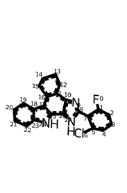 Fc1cccc(Cl)c1-c1nc2c3ccccc3c3c4ccccc4[nH]c3c2[nH]1